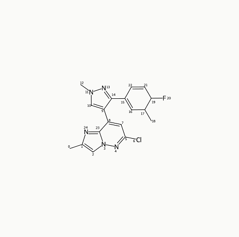 Cc1cn2nc(Cl)cc(-c3cn(C)nc3C3=CC(C)C(F)C=C3)c2n1